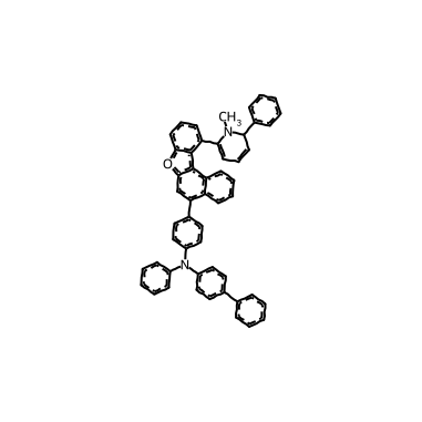 CN1C(c2cccc3oc4cc(-c5ccc(N(c6ccccc6)c6ccc(-c7ccccc7)cc6)cc5)c5ccccc5c4c23)=CC=CC1c1ccccc1